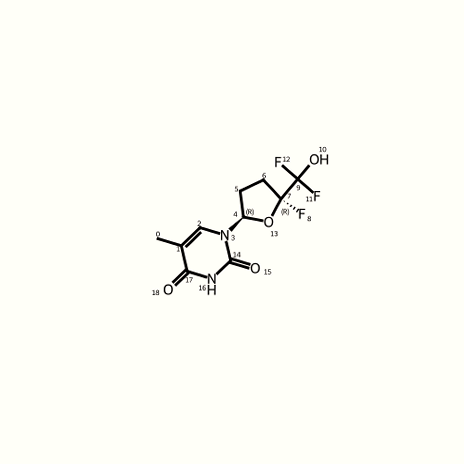 Cc1cn([C@H]2CC[C@@](F)(C(O)(F)F)O2)c(=O)[nH]c1=O